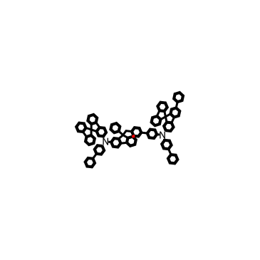 c1ccc(-c2ccc(N(c3ccc4c(c3)C(Cc3ccc(-c5ccc(N(c6ccc(-c7ccccc7)cc6)c6ccc7c(c6)C6(c8ccccc8-c8ccccc86)c6cc(-c8ccccc8)ccc6-7)cc5)cc3)(c3ccccc3)c3ccccc3-4)c3ccc4c(c3)C3(c5ccccc5-c5ccccc53)c3ccccc3-4)cc2)cc1